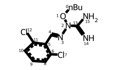 CCCCON(/N=C/c1c(Cl)cccc1Cl)C(=N)N